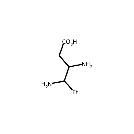 CCC(N)C(N)CC(=O)O